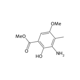 COC(=O)c1cc(OC)c(C)c(N)c1O